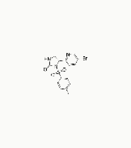 Cc1ccc(S(=O)(=O)N2C(=O)NCC2c2ccc(Br)cn2)cc1